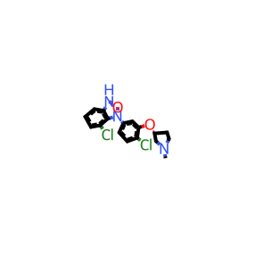 CN1CC[C@@H](Oc2cc(N3ONc4cccc(Cl)c43)ccc2Cl)C1